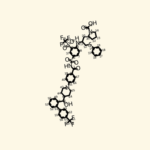 O=C(NS(=O)(=O)c1ccc(NC(CSc2ccccc2)C[C@@H]2CCCN2C(=O)O)c(S(=O)(=O)C(F)(F)F)c1)c1ccc(N2CCC(C(O)c3ccccc3-c3ccc(C(F)(F)F)cc3)CC2)cc1